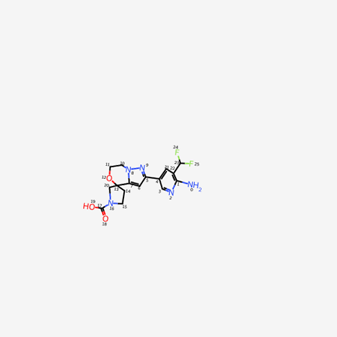 Nc1ncc(-c2cc3n(n2)CCOC32CCN(C(=O)O)C2)cc1C(F)F